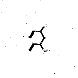 C=CC(CC)CC(C=C)NC